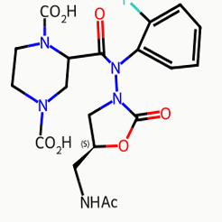 CC(=O)NC[C@H]1CN(N(C(=O)C2CN(C(=O)O)CCN2C(=O)O)c2ccccc2F)C(=O)O1